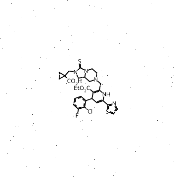 CCOC(=O)C1=C(CN2CCN3C(=S)N(CC4(C(=O)O)CC4)CC3C2)NC(c2nccs2)=CC1c1cccc(F)c1Cl